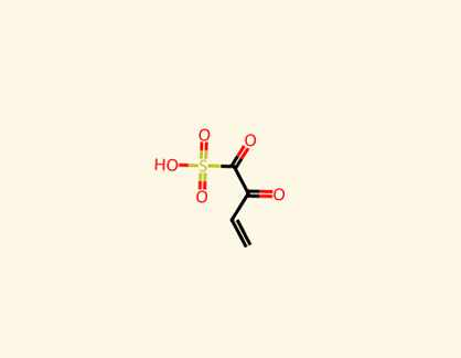 C=CC(=O)C(=O)S(=O)(=O)O